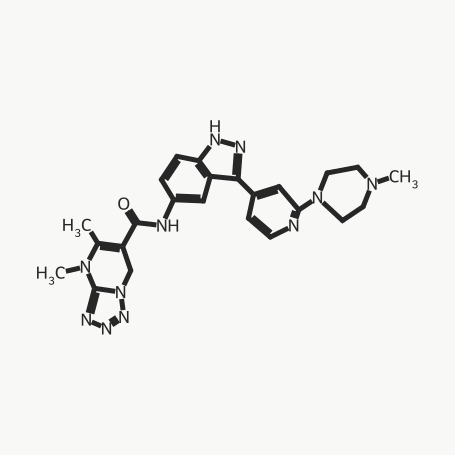 CC1=C(C(=O)Nc2ccc3[nH]nc(-c4ccnc(N5CCN(C)CC5)c4)c3c2)Cn2nnnc2N1C